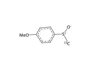 COc1ccc([S+]([13CH3])[O-])cc1